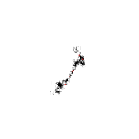 Cc1ncsc1-c1ccc(CNC(=O)[C@@H]2C[C@@H](O)CN2C(=O)C(NC(=O)COCCCOCCCCNc2ccc(N3C(=S)N(c4ccc(C#N)c(C(F)(F)F)c4)C(=O)C3(C)C)cc2)C(C)(C)C)cc1